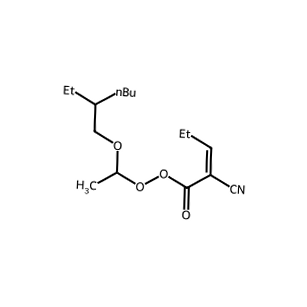 CCC=C(C#N)C(=O)OOC(C)OCC(CC)CCCC